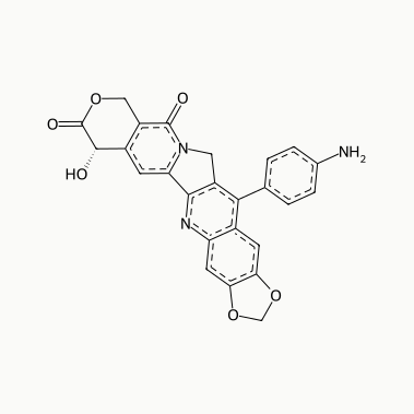 Nc1ccc(-c2c3c(nc4cc5c(cc24)OCO5)-c2cc4c(c(=O)n2C3)COC(=O)[C@H]4O)cc1